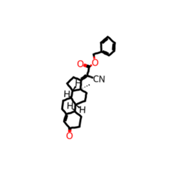 C[C@]12CC[C@H]3[C@@H](CCC4=CC(=O)CC[C@@H]43)[C@@H]1CC/C2=C(/C#N)C(=O)OCc1ccccc1